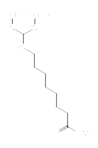 COC(=O)CCCCCCCNC(NC=O)NC=O